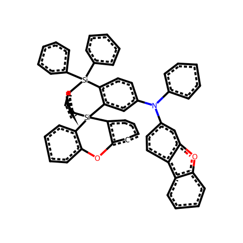 c1ccc(N(c2ccc3c(c2)[Si]2(c4ccccc4Oc4ccccc42)c2ccccc2[Si]3(c2ccccc2)c2ccccc2)c2ccc3c(c2)oc2ccccc23)cc1